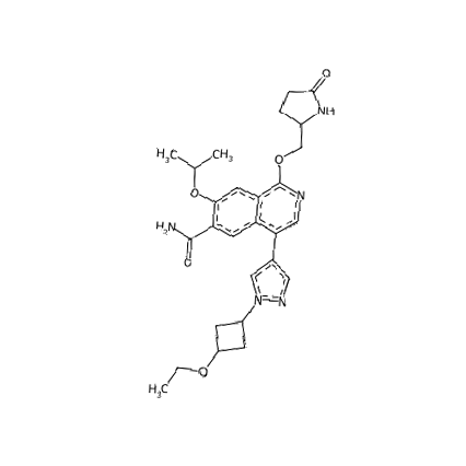 CCOC1CC(n2cc(-c3cnc(OCC4CCC(=O)N4)c4cc(OC(C)C)c(C(N)=O)cc34)cn2)C1